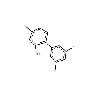 Cc1ccc(-c2cc(F)cc(F)c2)c(N)c1